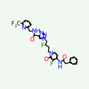 O=C(Cc1ccccc1)Nc1ccn(CCC(F)Cn2cc(C(=O)NCc3cccc(C(F)(F)F)n3)nn2)c(=O)c1F